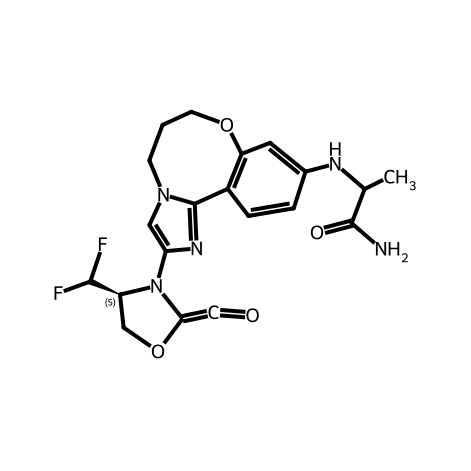 CC(Nc1ccc2c(c1)OCCCn1cc(N3C(=C=O)OC[C@H]3C(F)F)nc1-2)C(N)=O